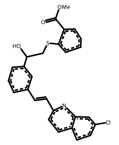 COC(=O)c1ccccc1SCC(O)c1cccc(/C=C/c2ccc3ccc(Cl)cc3n2)c1